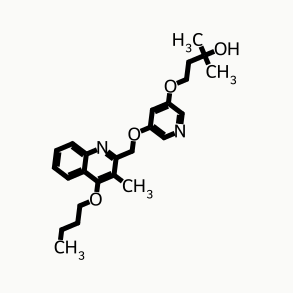 CCCCOc1c(C)c(COc2cncc(OCCC(C)(C)O)c2)nc2ccccc12